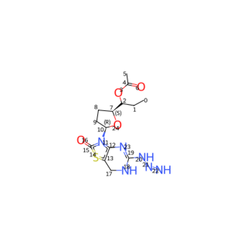 CCC(OC(C)=O)[C@@H]1CC[C@H](n2c3c(sc2=O)CNC(NN=N)=N3)O1